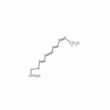 CCCCCCCCCC=C/C=C/C=C/C=C\C(=O)O